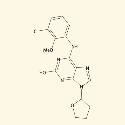 COc1c(Cl)cccc1Nc1nc(O)nc2c1ncn2C1CCCO1